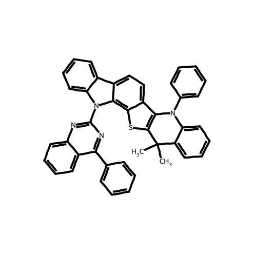 CC1(C)c2ccccc2N(c2ccccc2)c2c1sc1c2ccc2c3ccccc3n(-c3nc(-c4ccccc4)c4ccccc4n3)c21